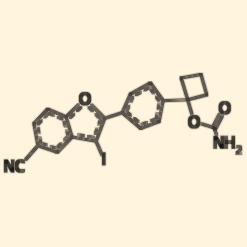 N#Cc1ccc2oc(-c3ccc(C4(OC(N)=O)CCC4)cc3)c(I)c2c1